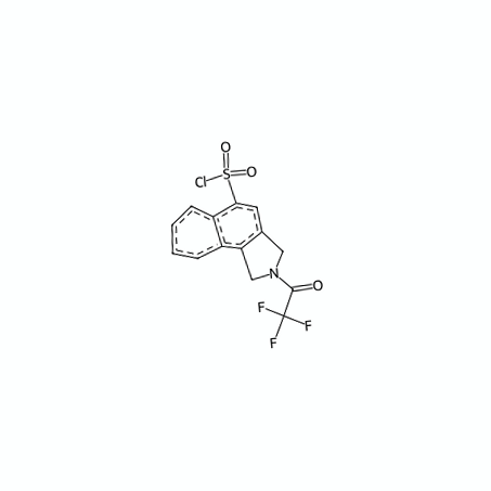 O=C(N1Cc2cc(S(=O)(=O)Cl)c3ccccc3c2C1)C(F)(F)F